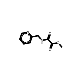 COC(=O)C(=O)NCc1ccccn1